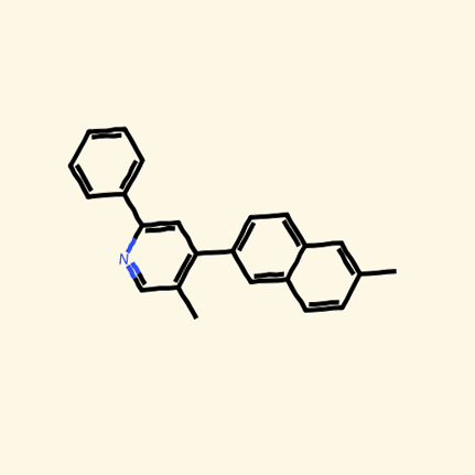 Cc1ccc2cc(-c3cc(-c4ccccc4)ncc3C)ccc2c1